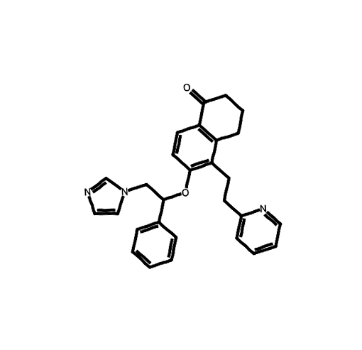 O=C1CCCc2c1ccc(OC(Cn1ccnc1)c1ccccc1)c2CCc1ccccn1